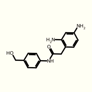 Nc1ccc(CC(=O)Nc2ccc(CO)cc2)c(N)c1